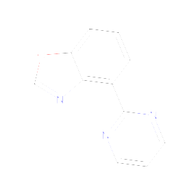 [c]1nc2c(-c3ncccn3)cccc2o1